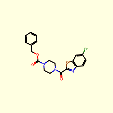 O=C(OCc1ccccc1)N1CCN(C(=O)c2nc3ccc(Br)cc3s2)CC1